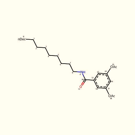 CCCCCCCCCCCCCCCCCCNC(=O)c1cc(OC(C)=O)cc(OC(C)=O)c1